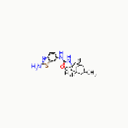 CC1C[C@@H]2C[C@H](C1)CC(C)(NC(=O)Nc1ccc3nc(N)sc3c1)C2